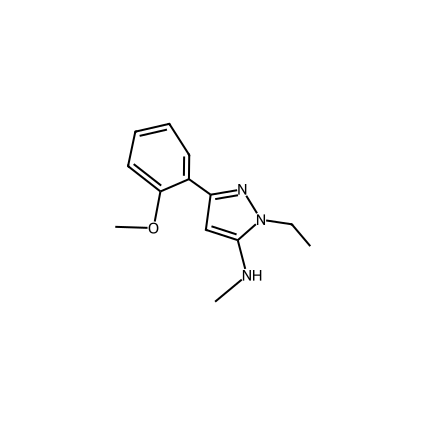 CCn1nc(-c2ccccc2OC)cc1NC